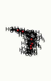 CC(C)C[C@H](N)C(=O)OC[C@H](N)C(=O)O.CC(C)[C@H](N)C(=O)OC(=O)[C@@H](N)Cc1ccccc1.CC[C@H](C)[C@H](N)C(=O)OC(=O)[C@@H](N)Cc1ccc(OC(=O)CN)cc1.CSCC[C@H](N)C(=O)O.C[C@@H](OC(=O)[C@@H]1CCCN1)[C@H](N)C(=O)O.C[C@H](N)C(=O)O.NC(=O)CC[C@H](N)C(=O)O.NCCCC[C@H](N)C(=O)O.N[C@@H](CCC(=O)O)C(=O)O.N[C@@H](Cc1c[nH]cn1)C(=O)O